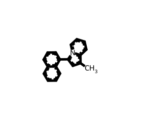 Cc1cc(-c2cccc3ccccc23)n2ccccc12